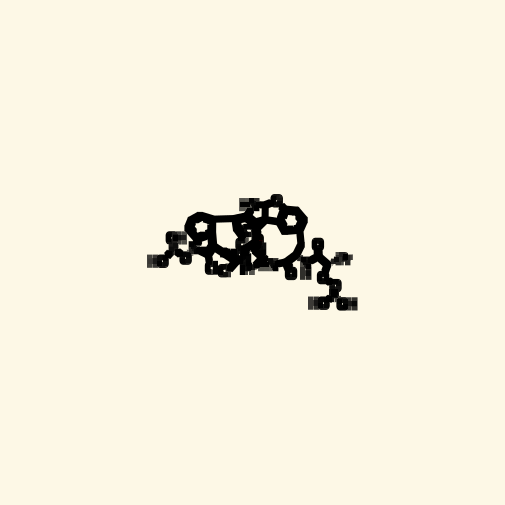 CC(C)C1NC(=O)[C@@H](NC(=O)[C@@H](OOP(O)O)C(C)C)Cc2ccc3c(c2)C24c5cc(Cl)cc(c5NC2O3)-c2cccc3c2c(c(Cl)n3OP(O)O)-c2oc(nc2Cl)-c2nc1oc24